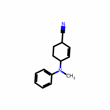 CN(c1ccccc1)C1C=CC(C#N)CC1